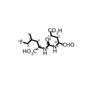 CC(CF)C[C@H](NC(=O)NC(C=O)CCC(=O)O)C(=O)O